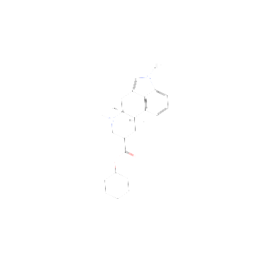 CCN1CC(C(=O)OC2CCCCC2)C[C@@H]2c3cccc4c3c(cn4C(C)C)C[C@H]21